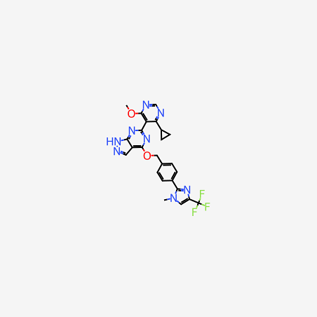 COc1ncnc(C2CC2)c1-c1nc(OCc2ccc(-c3nc(C(F)(F)F)cn3C)cc2)c2cn[nH]c2n1